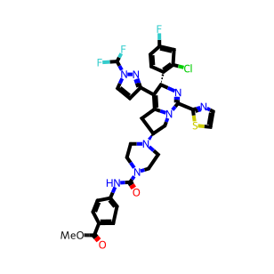 COC(=O)c1ccc(NC(=O)N2CCN([C@H]3CC4=C(c5ccn(C(F)F)n5)[C@H](c5ccc(F)cc5Cl)N=C(c5nccs5)N4C3)CC2)cc1